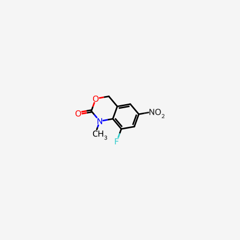 CN1C(=O)OCc2cc([N+](=O)[O-])cc(F)c21